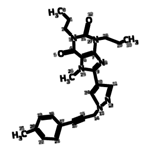 CCCn1c(=O)c2c(nc(-c3cnn(CC#Cc4ccc(C)cc4)c3)n2C)n(CCC)c1=O